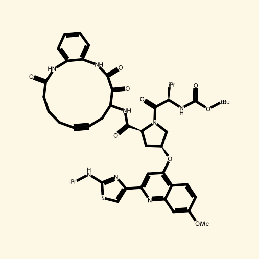 COc1ccc2c(O[C@H]3C[C@@H](C(=O)NC4CC#CCCCC(=O)Nc5ccccc5NC(=O)C4=O)N(C(=O)[C@H](NC(=O)OC(C)(C)C)C(C)C)C3)cc(-c3csc(NC(C)C)n3)nc2c1